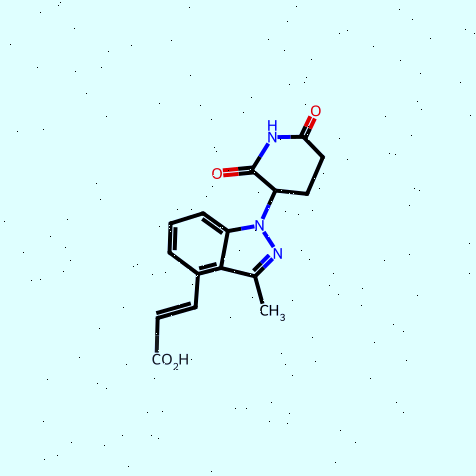 Cc1nn(C2CCC(=O)NC2=O)c2cccc(C=CC(=O)O)c12